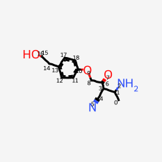 CC(N)C(C#N)C(=O)COc1ccc(CCO)cc1